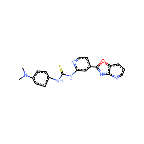 CN(C)c1ccc(NC(=S)Nc2cc(-c3nc4ncccc4o3)ccn2)cc1